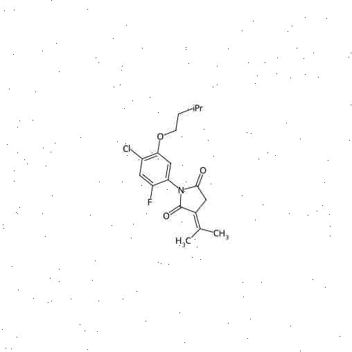 CC(C)=C1CC(=O)N(c2cc(OCCC(C)C)c(Cl)cc2F)C1=O